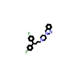 Fc1ccc(C(CCCN2CCC(N3C=Nc4ccccc4C3)CC2)c2ccc(F)cc2)cc1